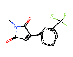 CN1C(=O)C=C(c2cccc(C(F)(F)F)c2)C1=O